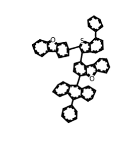 c1ccc(-c2c3ccccc3c(-c3ccc(-c4c(-c5ccc6c(c5)oc5ccccc56)sc5c(-c6ccccc6)cccc45)c4c3oc3ccccc34)c3ccccc23)cc1